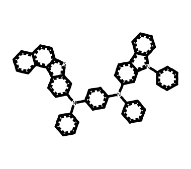 c1ccc(N(c2ccc(N(c3ccccc3)c3ccc4c5ccccc5n(-c5ccccc5)c4c3)cc2)c2ccc3c(c2)sc2ccc4ccccc4c23)cc1